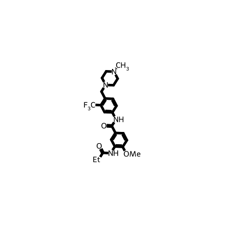 CCC(=O)Nc1cc(C(=O)Nc2ccc(CN3CCN(C)CC3)c(C(F)(F)F)c2)ccc1OC